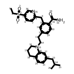 CCS(=O)(=O)c1ccc(Cc2cc(CCN3CCCc4ccc(CC(C)C)cc43)ccc2C(N)=O)nc1